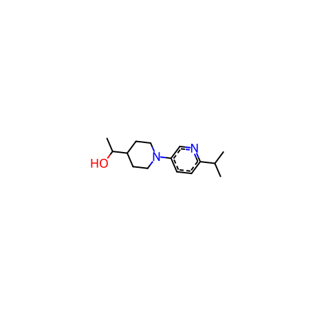 CC(C)c1ccc(N2CCC(C(C)O)CC2)cn1